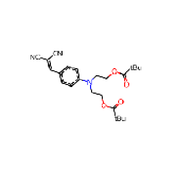 CC(C)(C)C(=O)OCCN(CCOC(=O)C(C)(C)C)c1ccc(C=C(C#N)C#N)cc1